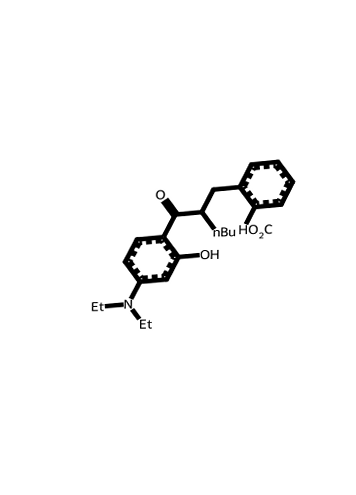 CCCCC(Cc1ccccc1C(=O)O)C(=O)c1ccc(N(CC)CC)cc1O